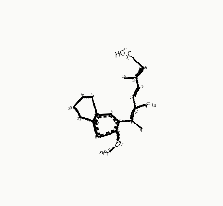 CCCOc1cc2c(cc1\C(C)=C(F)/C=C/C(C)=C/C(=O)O)CCCC2